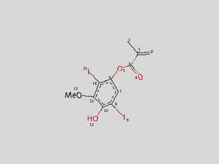 C=C(C)C(=O)Oc1cc(I)c(O)c(OC)c1I